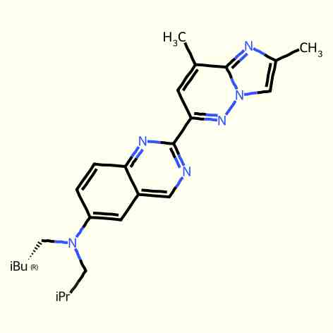 CC[C@@H](C)CN(CC(C)C)c1ccc2nc(-c3cc(C)c4nc(C)cn4n3)ncc2c1